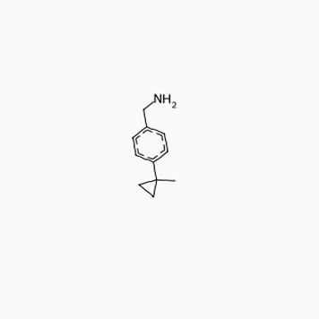 CC1(c2ccc(CN)cc2)CC1